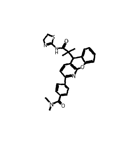 CN(C)C(=O)c1ccc(-c2ccc3c(n2)Oc2ccccc2C3C(C)(C)C(=O)NC2=NCCS2)cc1